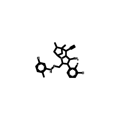 C#CC1C2C(N)C(c3cccc(Cl)c3F)C(CONc3cc(Cl)ccc3C)N2C2CC(C)C1(C)C2